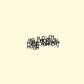 C[C@H](CC[C@@H](O)C(C)(C)O)[C@H]1CC[C@@]2(C)[C@H]3CC=C4[C@@H](CC[C@H](O[C@@H]5O[C@H](CO)[C@@H](O)[C@H](O)[C@H]5O)C4(C)C)[C@]3(C)C(O)C[C@]12C